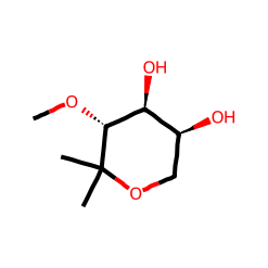 CO[C@@H]1[C@@H](O)[C@@H](O)COC1(C)C